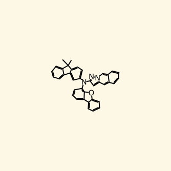 CC1(C)c2ccccc2-c2cc(N(c3cc4cc5ccccc5cn4n3)c3cccc4c3oc3ccccc34)ccc21